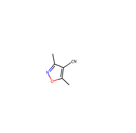 Cc1noc(C)c1C#N